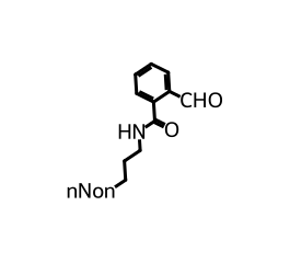 CCCCCCCCCCCCNC(=O)c1ccccc1C=O